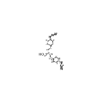 [N-]=[N+]=Nc1ccc(C=CC(C=Cc2ccc(N=[N+]=[N-])cc2)S(=O)(=O)O)cc1